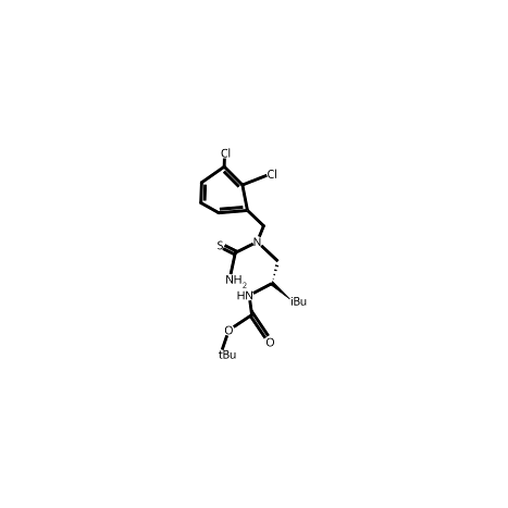 CC[C@H](C)[C@@H](CN(Cc1cccc(Cl)c1Cl)C(N)=S)NC(=O)OC(C)(C)C